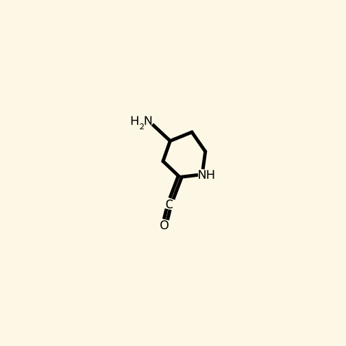 NC1CCNC(=C=O)C1